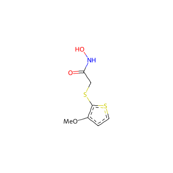 COc1ccsc1SCC(=O)NO